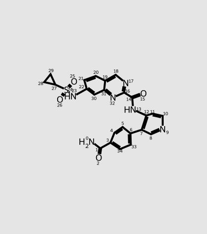 NC(=O)c1ccc(-c2cnccc2NC(=O)c2ncc3ccc(NS(=O)(=O)C4CC4)cc3n2)cc1